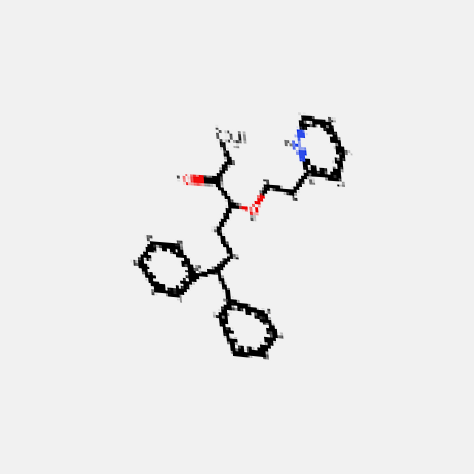 O=C(O)CC(=O)C(CCC(c1ccccc1)c1ccccc1)OCCc1ccccn1